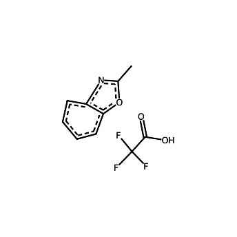 Cc1nc2ccccc2o1.O=C(O)C(F)(F)F